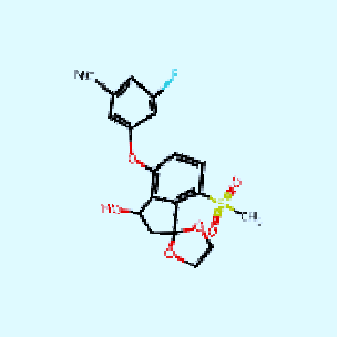 CS(=O)(=O)c1ccc(Oc2cc(F)cc(C#N)c2)c2c1C1(CC2O)OCCO1